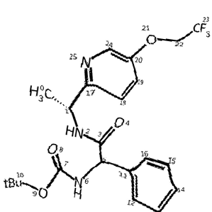 C[C@@H](NC(=O)C(NC(=O)OC(C)(C)C)c1ccccc1)c1ccc(OCC(F)(F)F)cn1